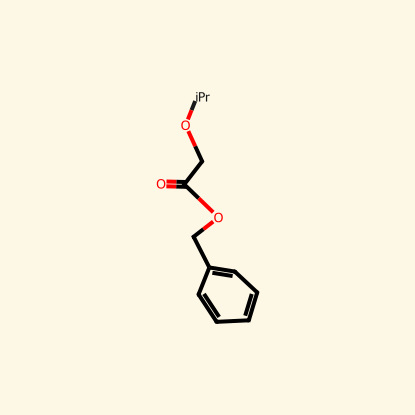 CC(C)OCC(=O)OCc1ccccc1